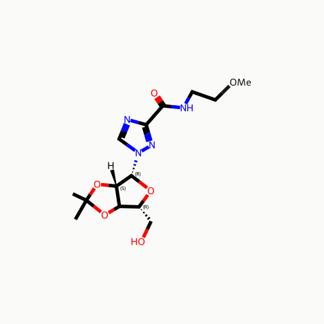 COCCNC(=O)c1ncn([C@@H]2O[C@H](CO)C3OC(C)(C)O[C@@H]32)n1